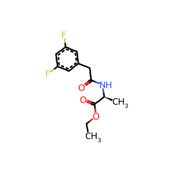 CCOC(=O)[C@H](C)NC(=O)Cc1cc(F)cc(F)c1